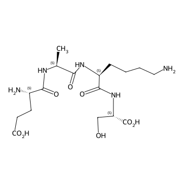 C[C@H](NC(=O)[C@@H](N)CCC(=O)O)C(=O)N[C@@H](CCCCN)C(=O)N[C@@H](CO)C(=O)O